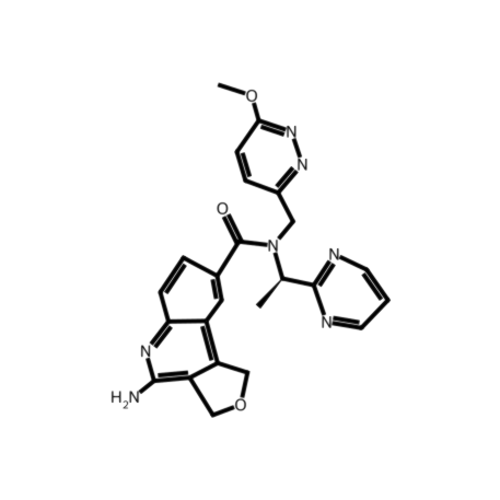 COc1ccc(CN(C(=O)c2ccc3nc(N)c4c(c3c2)COC4)[C@H](C)c2ncccn2)nn1